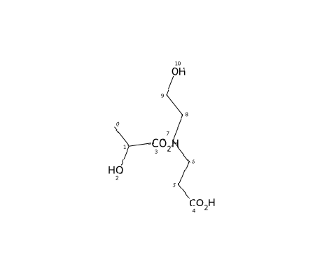 CC(O)C(=O)O.O=C(O)CCCCCO